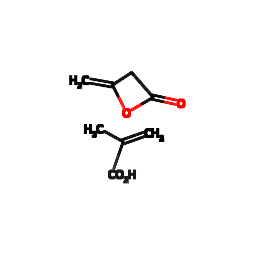 C=C(C)C(=O)O.C=C1CC(=O)O1